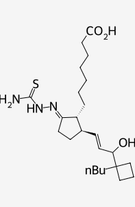 CCCCC1(C(O)C=C[C@H]2CCC(=NNC(N)=S)[C@@H]2CCCCCCC(=O)O)CCC1